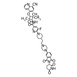 CC1(C)[C@H](NC(=O)c2cnc(N3CCC(CCN4CCN(c5ccc6c(c5)C(=O)N(C5CCC(=O)NC5=O)C6=O)CC4)CC3)c(F)c2)C(C)(C)[C@H]1Oc1ccc(C#N)c2ncccc12